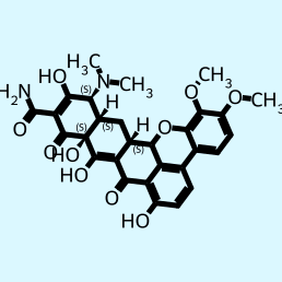 COc1ccc2c(c1OC)OC1c3c-2ccc(O)c3C(=O)C2=C(O)[C@]3(O)C(=O)C(C(N)=O)=C(O)[C@@H](N(C)C)[C@@H]3C[C@@H]21